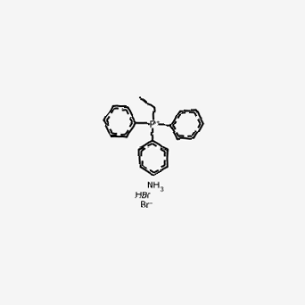 Br.CC[P+](c1ccccc1)(c1ccccc1)c1ccccc1.N.[Br-]